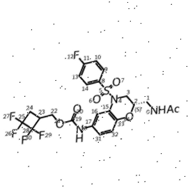 CC(=O)NC[C@H]1CN(S(=O)(=O)c2ccc(F)cc2)c2cc(NC(=O)OCC3CC(F)(F)C3(F)F)ccc2O1